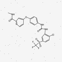 CNC(=O)c1cc(Oc2ccc(NC(=O)Nc3cc(S(=O)(=O)C(F)(F)F)ccc3Cl)cc2)ccn1